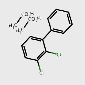 CC(=O)O.CC(=O)O.Clc1cccc(-c2ccccc2)c1Cl